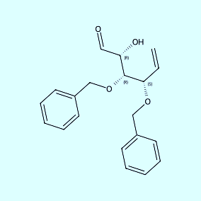 C=C[C@H](OCc1ccccc1)[C@H](OCc1ccccc1)[C@@H](O)C=O